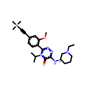 CCN1CCC[C@@H](Nc2nnc(-c3ccc(C#C[Si](C)(C)C)cc3OC)n(C(C)C)c2=O)C1